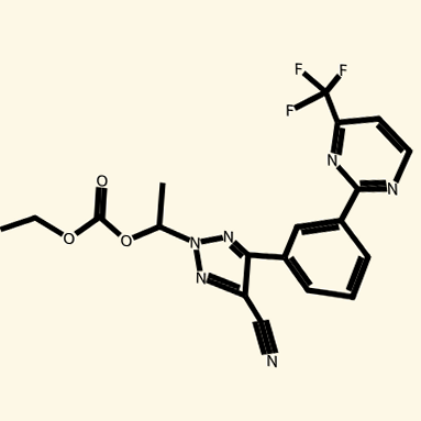 CCOC(=O)OC(C)n1nc(C#N)c(-c2cccc(-c3nccc(C(F)(F)F)n3)c2)n1